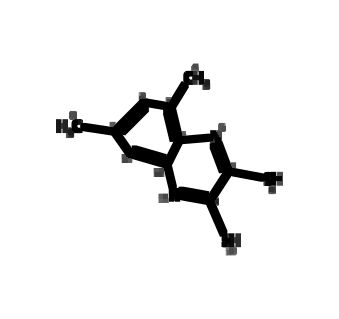 Cc1cc(C)c2nc(S)c(S)nc2c1